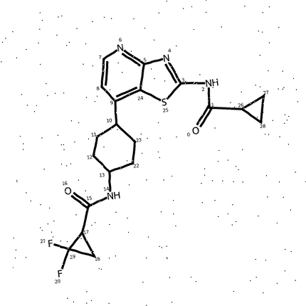 O=C(Nc1nc2nccc(C3CCC(NC(=O)C4CC4(F)F)CC3)c2s1)C1CC1